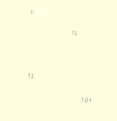 Fc1cncc(-c2nccc3c2CNC3)c1